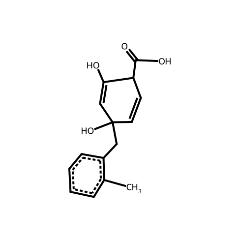 Cc1ccccc1CC1(O)C=CC(C(=O)O)C(O)=C1